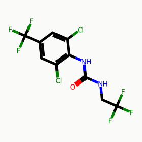 O=C(NCC(F)(F)F)Nc1c(Cl)cc(C(F)(F)F)cc1Cl